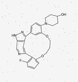 OC1CCN(c2ccc3cc2OCCCOc2cccc(F)c2-c2cc4c-3n[nH]c4cn2)CC1